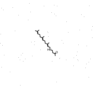 CC(=O)CCNC/C=C(\C)CC/C=C(\C)CCC=C(C)C